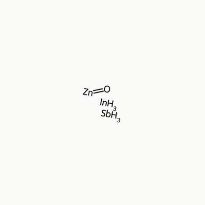 [InH3].[O]=[Zn].[SbH3]